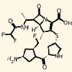 C[C@@H](NC(=O)C(F)F)[C@H]1C(=O)N2C(C(=O)O)=C(S[C@@H]3CN[C@H](C(=O)C4C[C@@H](N)C[C@H]4CF)C3)[C@H](C)[C@@H]12